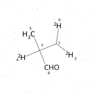 [2H]C([2H])C([2H])(C)C=O